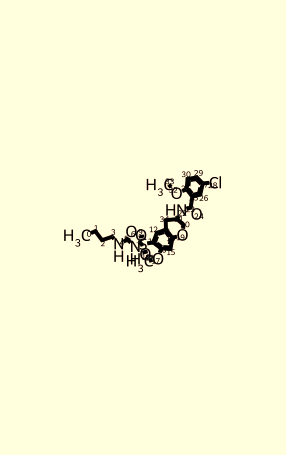 CCCCNC(=O)NS(=O)(=O)c1cc2c(cc1OC)OCC(NC(=O)c1cc(Cl)ccc1OC)C2